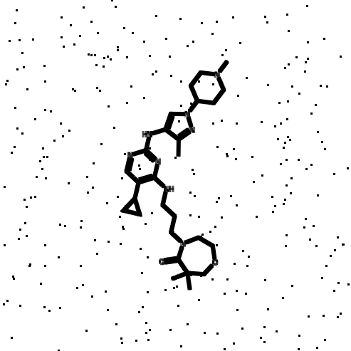 Cc1nn(C2CCN(C)CC2)cc1Nc1ncc(C2CC2)c(NCCCN2CCOCC(C)(C)C2=O)n1